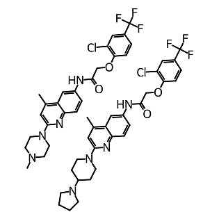 Cc1cc(N2CCC(N3CCCC3)CC2)nc2ccc(NC(=O)COc3ccc(C(F)(F)F)cc3Cl)cc12.Cc1cc(N2CCN(C)CC2)nc2ccc(NC(=O)COc3ccc(C(F)(F)F)cc3Cl)cc12